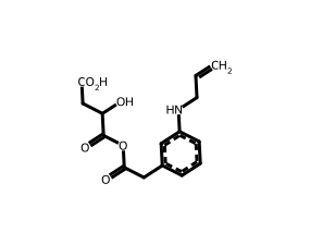 C=CCNc1cccc(CC(=O)OC(=O)C(O)CC(=O)O)c1